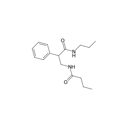 CCCNC(=O)C(CNC(=O)CCC)c1ccccc1